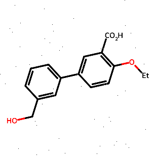 CCOc1ccc(-c2cccc(CO)c2)cc1C(=O)O